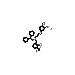 Nc1cc(OCCCN(Cc2cccc(C(F)(F)F)c2Cl)CC(c2ccccc2)c2ccccc2)ccc1Cl